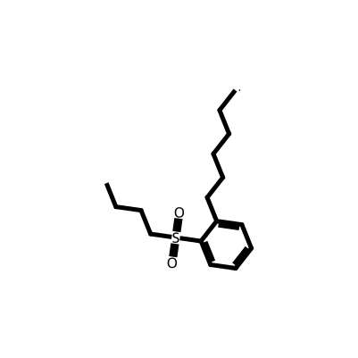 [CH2]CCCCCc1ccccc1S(=O)(=O)CCCC